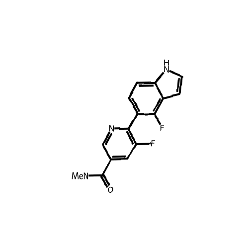 CNC(=O)c1cnc(-c2ccc3[nH]ccc3c2F)c(F)c1